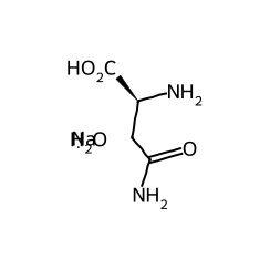 NC(=O)C[C@H](N)C(=O)O.O.[Na]